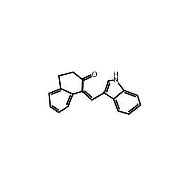 O=C1CCc2ccccc2C1=Cc1c[nH]c2ccccc12